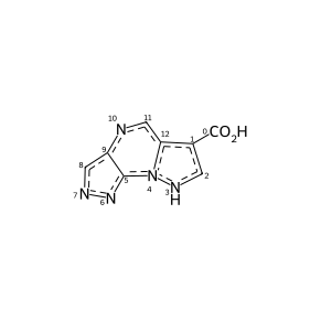 O=C(O)c1c[nH]n2c3nncc-3ncc12